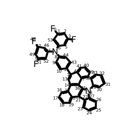 Fc1cc(F)cc(N(c2ccc(-c3cc4c5ccccc5c5c6ccccc6n(-c6ccccc6)c5c4c4ccccc34)cc2)c2cc(F)cc(F)c2)c1